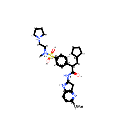 COc1ccc2c(n1)CC(NC(=O)C(CC1CCCC1)c1ccc(S(=O)(=O)N(C)CCN3CCCC3)cc1)=N2